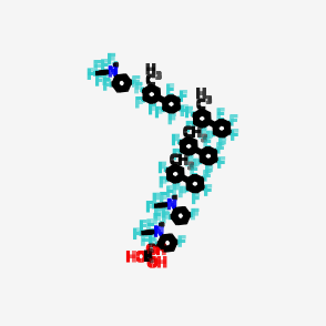 Cc1cc(-c2c(F)c(F)c(F)c(F)c2F)c(F)c(F)c1F.Cc1cc(-c2c(F)c(F)c(F)c(F)c2F)c(F)c(F)c1F.Cc1cc(-c2c(F)c(F)c(F)c(F)c2F)c(F)c(F)c1F.Cc1cc(-c2c(F)c(F)c(F)c(F)c2F)c(F)c(F)c1F.FCN(c1cc(F)ccc1F)C(F)(F)C(F)(F)F.FCN(c1cc(F)ccc1F)C(F)(F)C(F)(F)F.FCN(c1cc(F)ccc1F)C(F)(F)C(F)(F)F.OB(O)O